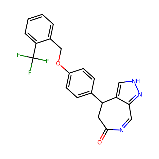 O=C1CC(c2ccc(OCc3ccccc3C(F)(F)F)cc2)c2c[nH]nc2C=N1